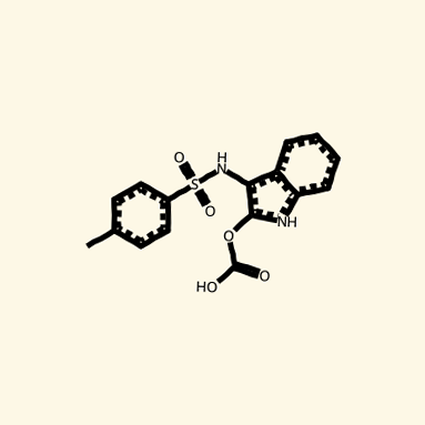 Cc1ccc(S(=O)(=O)Nc2c(OC(=O)O)[nH]c3ccccc23)cc1